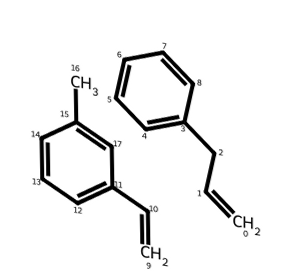 C=CCc1ccccc1.C=Cc1cccc(C)c1